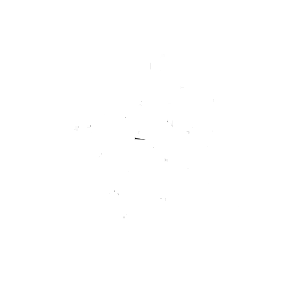 C=CC[C@@]1(C)CC(c2cncc(Cl)c2)[C@@H](c2ccc(Cl)cc2)N([C@@H](CC)CO)C1=O